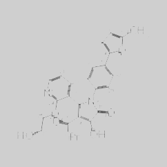 Cc1ccc(-c2ccc(N3C(=O)C(O)=C(C(=O)C(C)C)C3c3cccnc3OCCO)cc2)o1